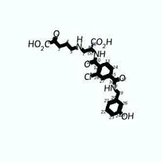 O=C(O)C(=O)CCCNC[C@H](NC(=O)c1ccc(C(=O)NCc2cccc(O)c2)cc1Cl)C(=O)O